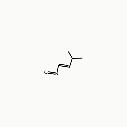 CC(C)/C=C/N=O